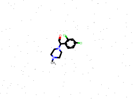 CN1CCN(C(C=O)c2ccc(Cl)cc2Cl)CC1